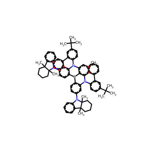 Cc1cc2c3c(c1)N(c1ccc(C(C)(C)C)cc1-c1ccccc1)c1cc(N4c5ccccc5C5(C)CCCCC45C)ccc1B3c1ccc(N3c4ccccc4C4(C)CCCCC34C)cc1N2c1ccc(C(C)(C)C)cc1-c1ccccc1